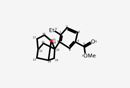 CCc1ccc(C(=O)OC)cc1C12CC3CC(CC(C3)C1)C2